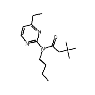 CCCCN(C(=O)CC(C)(C)C)c1nccc(CC)n1